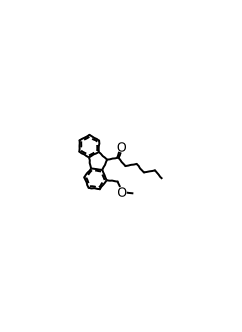 CCCCCC(=O)C1c2ccccc2-c2cccc(COC)c21